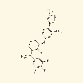 Cc1cn(-c2ccc(OC3CCCN(C(C)c4cc(F)c(F)c(F)c4)C3=O)cc2C)cn1